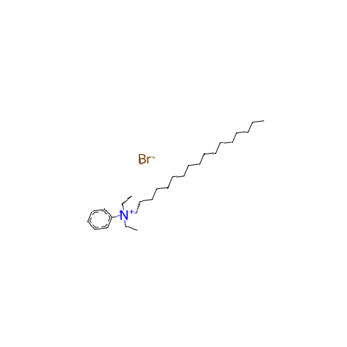 CCCCCCCCCCCCCCCCC[N+](CC)(CC)c1ccccc1.[Br-]